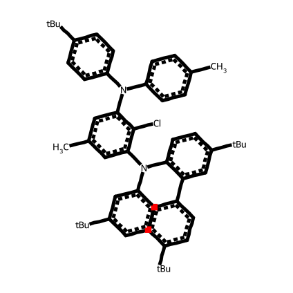 Cc1ccc(N(c2ccc(C(C)(C)C)cc2)c2cc(C)cc(N(c3cccc(C(C)(C)C)c3)c3ccc(C(C)(C)C)cc3-c3ccc(C(C)(C)C)cc3)c2Cl)cc1